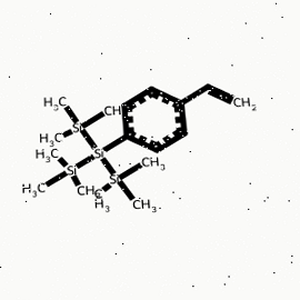 C=Cc1ccc([Si]([Si](C)(C)C)([Si](C)(C)C)[Si](C)(C)C)cc1